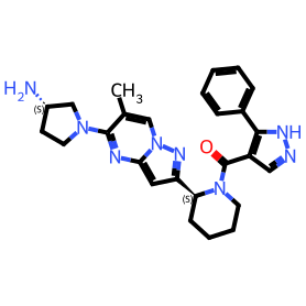 Cc1cn2nc([C@@H]3CCCCN3C(=O)c3cn[nH]c3-c3ccccc3)cc2nc1N1CC[C@H](N)C1